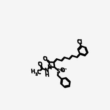 CC(=O)NN1C(=O)C(CCCCCCc2cccc(Cl)c2)C1[S+]([O-])Cc1ccccc1